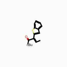 C/C=C(/C(=O)CCCC)c1cc2ccccc2s1